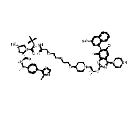 Cc1ncsc1-c1ccc([C@H](C)NC(=O)[C@@H]2C[C@@H](O)CN2C(=O)[C@@H](NC(=O)COCCOCCOC2CCN(C[C@@H](C)Oc3nc(N4CCNCC4)c4cc(Cl)c(-c5cc(O)cc6ccccc56)c(F)c4n3)CC2)C(C)(C)C)cc1